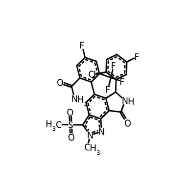 Cn1nc2c3c(c(-c4c(C(N)=O)cc(F)cc4C(F)(F)F)cc2c1S(C)(=O)=O)C(c1cc(F)ccc1Cl)NC3=O